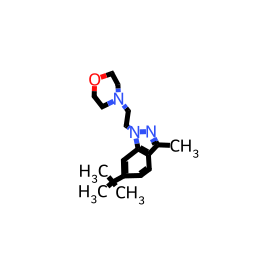 Cc1nn(CCN2CCOCC2)c2cc(C(C)(C)C)ccc12